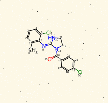 Cc1cccc(Cl)c1N=C1NCCN1C(=O)c1ccc(Cl)cc1